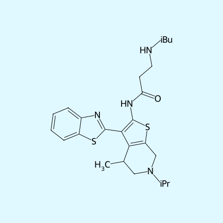 CCC(C)NCCC(=O)Nc1sc2c(c1-c1nc3ccccc3s1)C(C)CN(C(C)C)C2